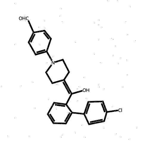 O=Cc1ccc(N2CCC(=C(O)c3ccccc3-c3ccc(Cl)cc3)CC2)cc1